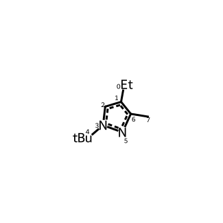 CCc1cn(C(C)(C)C)nc1C